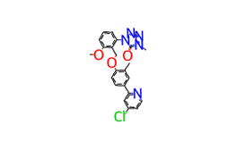 COc1cccc(-n2nnn(C)c2=O)c1COc1ccc(-c2cc(Cl)ccn2)cc1C